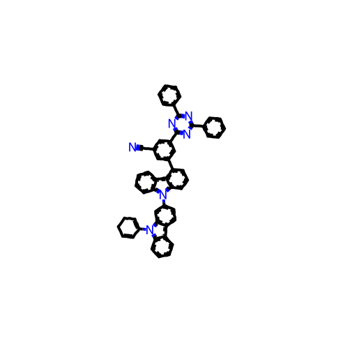 N#Cc1cc(-c2nc(-c3ccccc3)nc(-c3ccccc3)n2)cc(-c2cccc3c2c2ccccc2n3-c2ccc3c4ccccc4n(C4=CCCC=C4)c3c2)c1